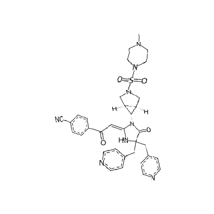 CN1CCN(S(=O)(=O)N2C[C@@H]3[C@H](C2)[C@H]3N2C(=O)C(Cc3ccncc3)(Cc3ccncc3)N/C2=C\C(=O)c2ccc(C#N)cc2)CC1